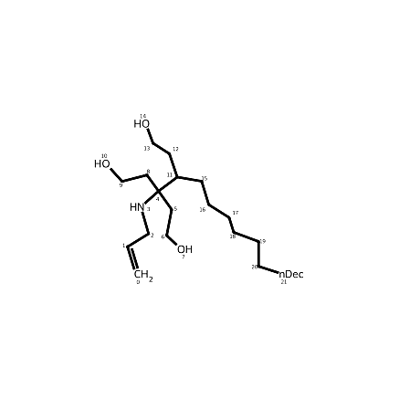 C=CCNC(CCO)(CCO)C(CCO)CCCCCCCCCCCCCCCC